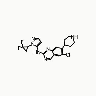 FC1(F)CC1n1nccc1Nc1ncc2cc(Cl)c(C3CCNCC3)cc2n1